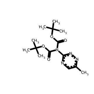 Cc1cnc(N(C(=O)OC(C)(C)C)C(=O)OC(C)(C)C)nn1